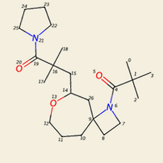 CC(C)(C)C(=O)N1CCC12CCCOC(CC(C)(C)C(=O)N1CCCC1)C2